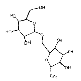 COC1OC(COC2OC(CO)C(O)C(O)C2O)C(O)C(O)C1O